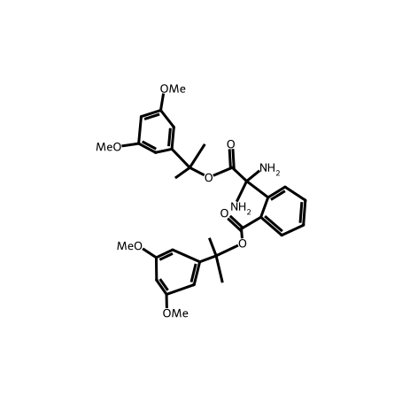 COc1cc(OC)cc(C(C)(C)OC(=O)c2ccccc2C(N)(N)C(=O)OC(C)(C)c2cc(OC)cc(OC)c2)c1